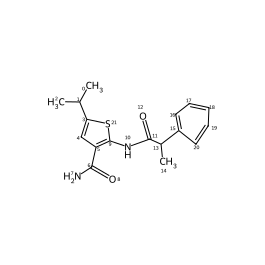 CC(C)c1cc(C(N)=O)c(NC(=O)C(C)c2ccccc2)s1